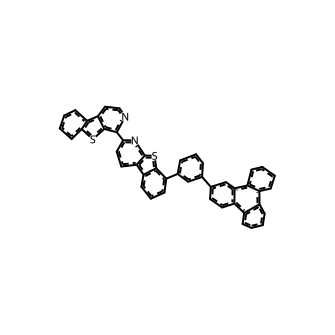 c1cc(-c2ccc3c4ccccc4c4ccccc4c3c2)cc(-c2cccc3c2sc2nc(-c4nccc5c4sc4ccccc45)ccc23)c1